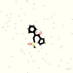 C[S+]([O-])CCC(C(=O)C1CCCC1)c1ccccc1